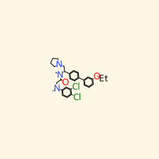 CCOc1cccc(-c2ccc(C(CN3CCCC3)N(C)C(=O)CN(C)c3ccc(Cl)c(Cl)c3)cc2)c1